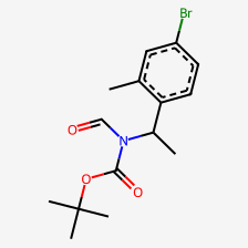 Cc1cc(Br)ccc1C(C)N(C=O)C(=O)OC(C)(C)C